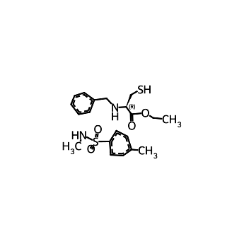 CCOC(=O)[C@H](CS)NCc1ccccc1.CNS(=O)(=O)c1ccc(C)cc1